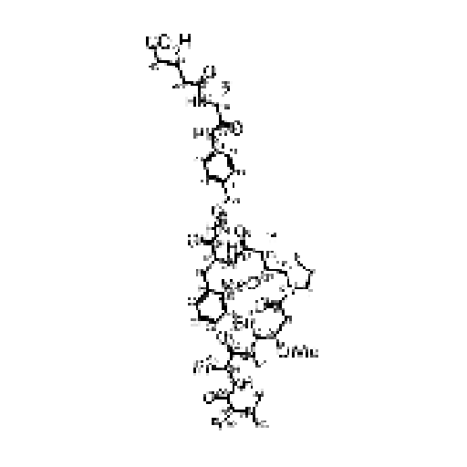 CC[C@H](C)[C@@H]([C@@H](CC(=O)N1CCC[C@H]1[C@H](OC)[C@@H](C)C(=O)N[C@@H](Cc1ccccc1)C(=O)NOCc1ccc(NC(=O)[C@@H](C)NC(=O)CCCC(=O)O)cc1)OC)N(C)C(=O)[C@@H](NC(=O)[C@H](C(C)C)N(C)C)C(C)C